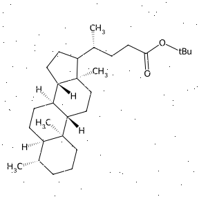 C[C@H](CCC(=O)OC(C)(C)C)C1CC[C@H]2[C@@H]3CC[C@@H]4[C@@H](C)CCC[C@]4(C)[C@H]3CC[C@]12C